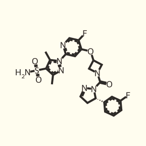 Cc1nn(-c2cc(OC3CN(C(=O)N4N=CC[C@H]4c4cccc(F)c4)C3)c(F)cn2)c(C)c1S(N)(=O)=O